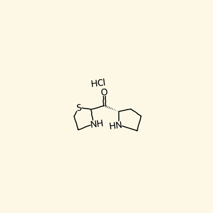 Cl.O=C(C1NCCS1)[C@@H]1CCCN1